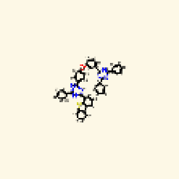 c1ccc(-c2nc(-c3ccccc3)nc(-c3cccc(Oc4ccc(-c5nc(-c6ccccc6)nc(-c6cccc7c6sc6ccccc67)n5)cc4)c3)n2)cc1